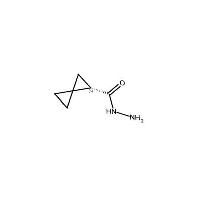 NNC(=O)[C@H]1CC12CC2